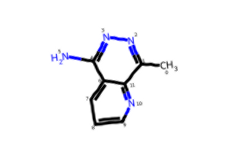 Cc1nnc(N)c2cccnc12